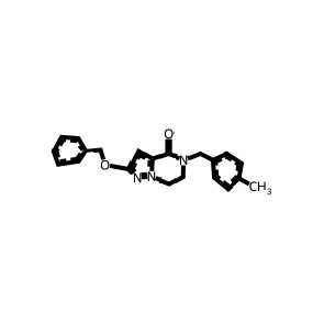 Cc1ccc(CN2CCn3nc(OCc4ccccc4)cc3C2=O)cc1